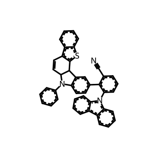 N#Cc1cccc(-n2c3ccccc3c3ccccc32)c1-c1ccc2c(c1)C1c3sc4ccccc4c3C=CC1N2c1ccccc1